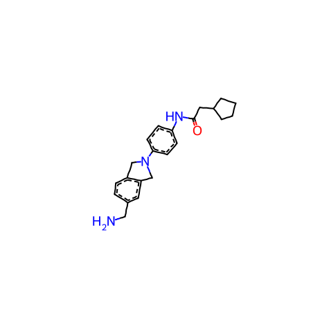 NCc1ccc2c(c1)CN(c1ccc(NC(=O)CC3CCCC3)cc1)C2